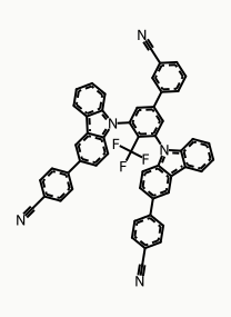 N#Cc1ccc(-c2ccc3c(c2)c2ccccc2n3-c2cc(-c3cccc(C#N)c3)cc(-n3c4ccccc4c4cc(-c5ccc(C#N)cc5)ccc43)c2C(F)(F)F)cc1